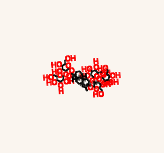 C=C1C[C@@]23CC[C@H]4[C@@](C)(CCC[C@@]4(C)C(=O)OC4OC(CO)C(O)C(O)C4OC4OC(CO)C(O)C(O)C4O)[C@@H]2CC[C@]1(OC1OC(CO)C(O)C(OC2OC(CO)C(O)C(O)C2O)[C@@H]1OC1OC(CO)C(O)C(O)C1O)C3